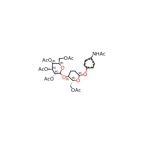 CC(=O)Nc1ccc(O[C@@H]2CC[C@H](OC3O[C@H](COC(C)=O)[C@@H](OC(C)=O)[C@H](OC(C)=O)[C@H]3OC(C)=O)[C@@H](COC(C)=O)O2)cc1